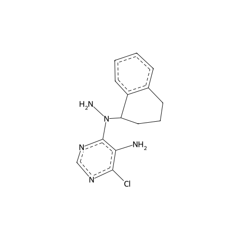 Nc1c(Cl)ncnc1N(N)C1CCCc2ccccc21